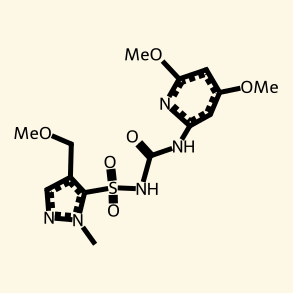 COCc1cnn(C)c1S(=O)(=O)NC(=O)Nc1cc(OC)cc(OC)n1